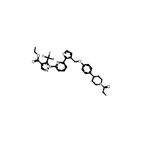 CCOC(=O)c1cnn(-c2cccc(-c3sccc3COc3ccc(C4CCN(C(=O)CC)CC4)cc3)n2)c1C(F)(F)F